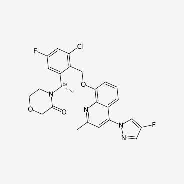 Cc1cc(-n2cc(F)cn2)c2cccc(OCc3c(Cl)cc(F)cc3[C@H](C)N3CCOCC3=O)c2n1